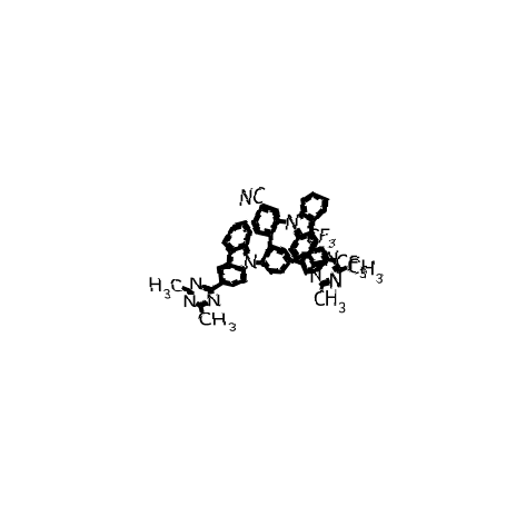 Cc1nc(C)nc(-c2ccc3c(c2)c2ccccc2n3-c2ccc(-c3ccc(C(F)(F)F)cc3C(F)(F)F)cc2-c2ccc(C#N)cc2-n2c3ccccc3c3cc(-c4nc(C)nc(C)n4)ccc32)n1